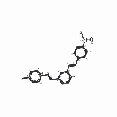 Cc1ccc(/C=C/c2cccc(/C=C/c3ccc([N+](=O)[O-])cc3)c2)cc1